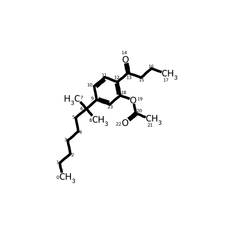 CCCCCCC(C)(C)c1ccc(C(=O)CCC)c(OC(C)=O)c1